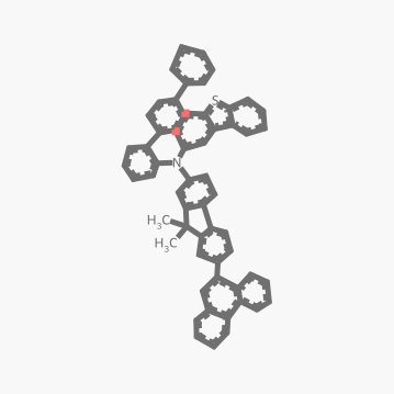 CC1(C)c2cc(-c3cc4ccccc4c4ccccc34)ccc2-c2ccc(N(c3ccc4sc5ccccc5c4c3)c3ccccc3-c3ccc(-c4ccccc4)cc3)cc21